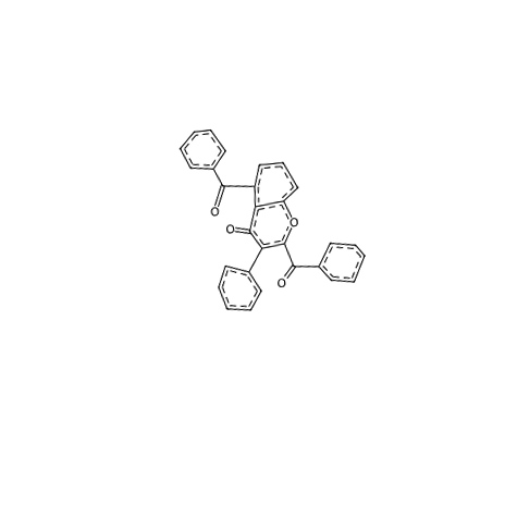 O=C(c1ccccc1)c1oc2cccc(C(=O)c3ccccc3)c2c(=O)c1-c1ccccc1